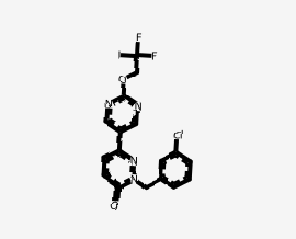 O=c1ccc(-c2cnc(OCC(F)(F)I)nc2)nn1Cc1cccc(Cl)c1